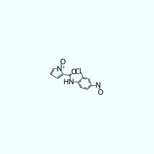 O=Nc1ccc(NC(=O)C2=CC=C[N+]2=O)c(Cl)c1